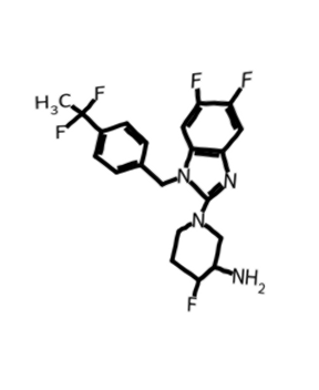 CC(F)(F)c1ccc(Cn2c(N3CCC(F)C(N)C3)nc3cc(F)c(F)cc32)cc1